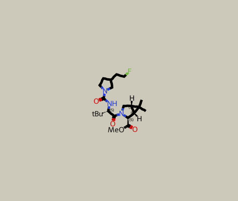 COC(=O)[C@@H]1[C@@H]2[C@H](CN1C(=O)[C@@H](NC(=O)N1CCC(CCF)C1)C(C)(C)C)C2(C)C